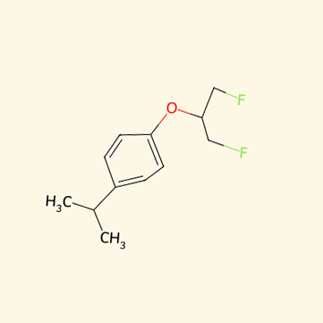 CC(C)c1ccc(OC(CF)CF)cc1